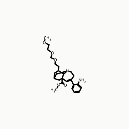 COCCOCOCCC1CC2CN3CCC(c4ccccc4N)=CC(C(=O)OC)(C2)C13